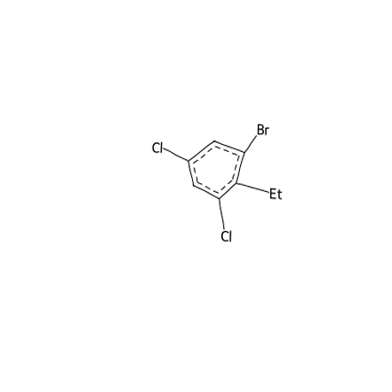 CCc1c(Cl)cc(Cl)cc1Br